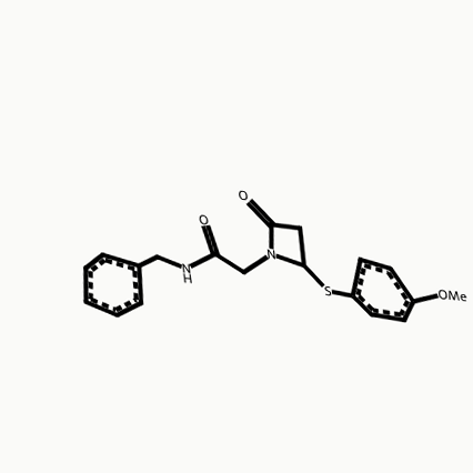 COc1ccc(SC2CC(=O)N2CC(=O)NCc2ccccc2)cc1